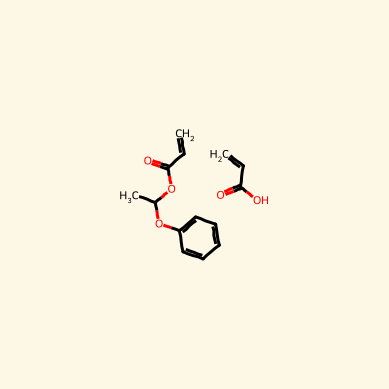 C=CC(=O)O.C=CC(=O)OC(C)Oc1ccccc1